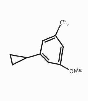 COc1cc(C2CC2)cc(C(F)(F)F)c1